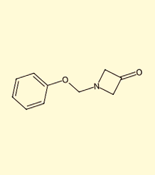 O=C1CN(COc2ccccc2)C1